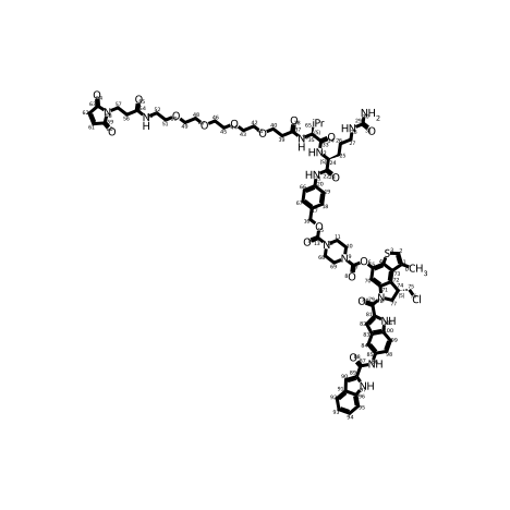 Cc1csc2c(OC(=O)N3CCN(C(=O)OCc4ccc(NC(=O)[C@H](CCCNC(N)=O)NC(=O)[C@@H](NC(=O)CCOCCOCCOCCOCCNC(=O)CCN5C(=O)C=CC5=O)C(C)C)cc4)CC3)cc3c(c12)[C@H](CCl)CN3C(=O)c1cc2cc(NC(=O)c3cc4ccccc4[nH]3)ccc2[nH]1